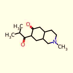 CC(C)C(=O)C1CC2CN(C)CCC2CC1=O